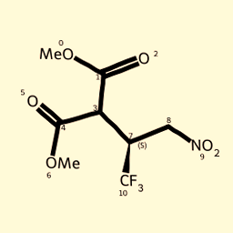 COC(=O)C(C(=O)OC)[C@@H](C[N+](=O)[O-])C(F)(F)F